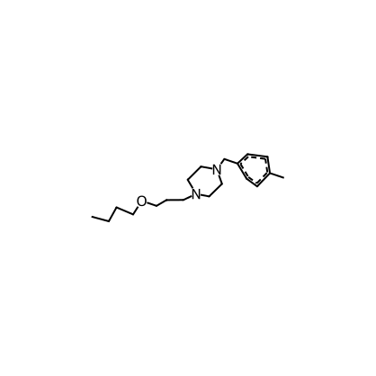 CCCCOCCCN1CCN(Cc2ccc(C)cc2)CC1